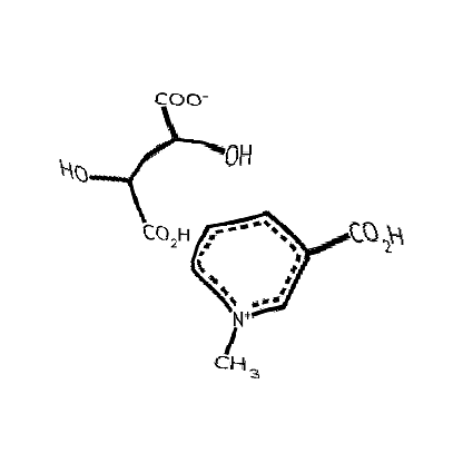 C[n+]1cccc(C(=O)O)c1.O=C([O-])C(O)C(O)C(=O)O